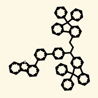 c1ccc(C2(c3ccccc3)c3ccccc3-c3ccc(C(CCc4cccc5c4-c4ccccc4C5(c4ccccc4)c4ccccc4)c4ccc(-c5cccc(-c6cccc7c6sc6ccccc67)c5)cc4)cc32)cc1